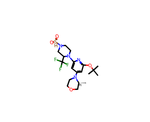 C[C@@H]1COCCN1c1cc(OC(C)(C)C)nc(N2CCN([SH](=O)=O)CC2C(F)(F)F)c1